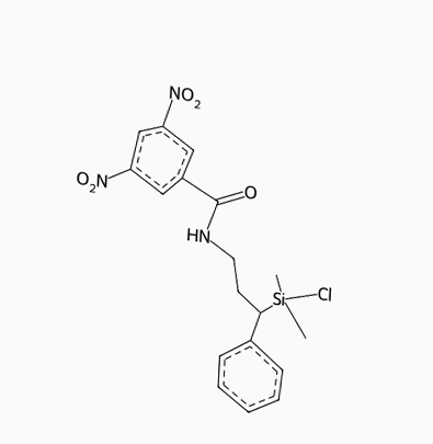 C[Si](C)(Cl)C(CCNC(=O)c1cc([N+](=O)[O-])cc([N+](=O)[O-])c1)c1ccccc1